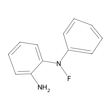 Nc1ccccc1N(F)c1ccccc1